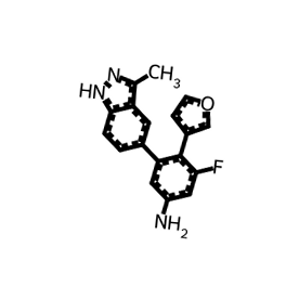 Cc1n[nH]c2ccc(-c3cc(N)cc(F)c3-c3ccoc3)cc12